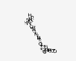 O=C1CC[C@H](Nc2ccc(N3CCC(N4CC(N5CCC(COc6cc(F)c7c(=O)[nH]c(COC8CCOCC8)nc7c6)CC5)C4)CC3)c(F)c2)C(=O)N1